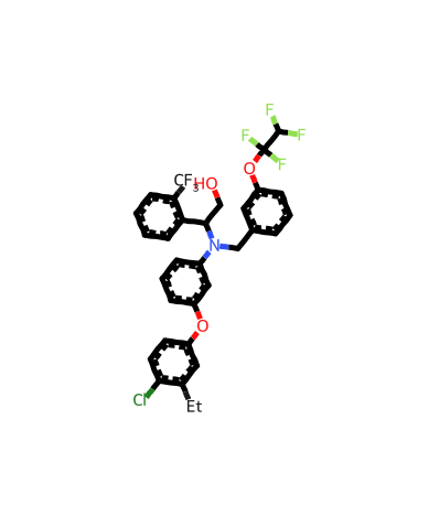 CCc1cc(Oc2cccc(N(Cc3cccc(OC(F)(F)C(F)F)c3)C(CO)c3ccccc3C(F)(F)F)c2)ccc1Cl